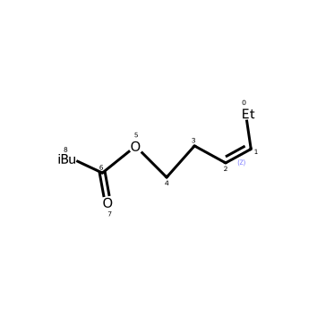 CC/C=C\CCOC(=O)C(C)CC